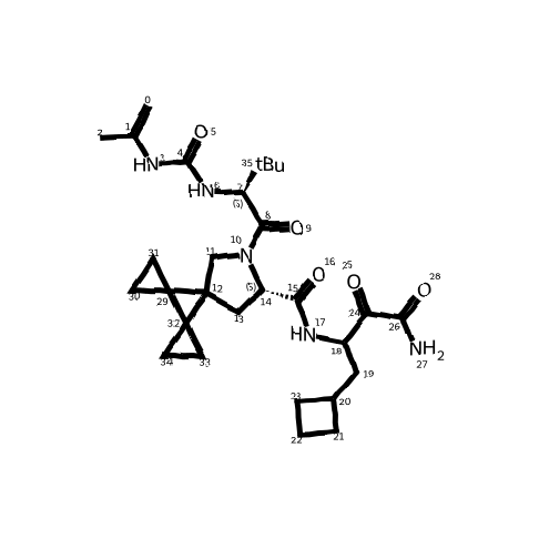 C=C(C)NC(=O)N[C@H](C(=O)N1CC2(C[C@H]1C(=O)NC(CC1CCC1)C(=O)C(N)=O)C1(CC1)C21CC1)C(C)(C)C